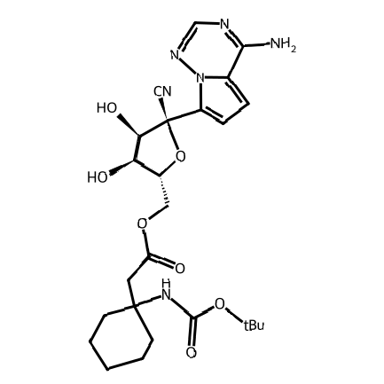 CC(C)(C)OC(=O)NC1(CC(=O)OC[C@H]2O[C@@](C#N)(c3ccc4c(N)ncnn34)[C@H](O)[C@@H]2O)CCCCC1